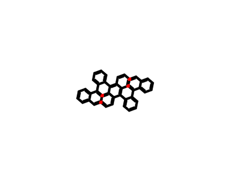 c1ccc(-c2c3ccccc3c(-c3ccccc3-c3cccc4ccccc34)c3ccccc23)c(-c2cccc3ccccc23)c1